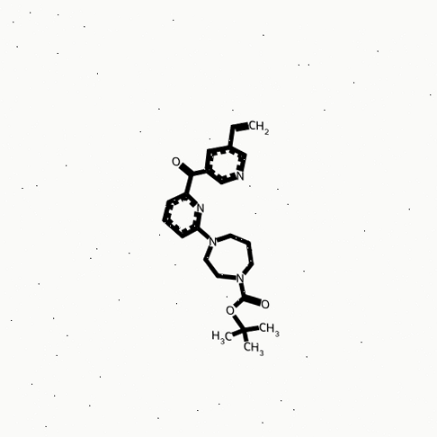 C=Cc1cncc(C(=O)c2cccc(N3CCCN(C(=O)OC(C)(C)C)CC3)n2)c1